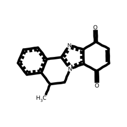 CC1Cn2c(nc3c2C(=O)C=CC3=O)-c2ccccc21